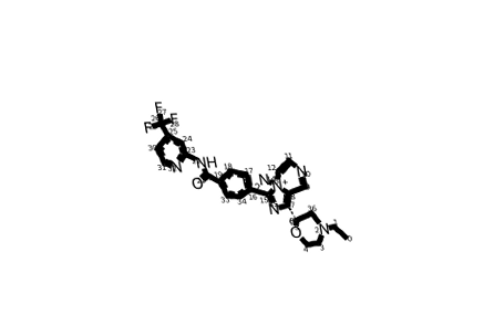 CCN1CCO[C@H](C2=C3C=NC=C[N+]3(N)C(c3ccc(C(=O)Nc4cc(C(F)(F)F)ccn4)cc3)=N2)C1